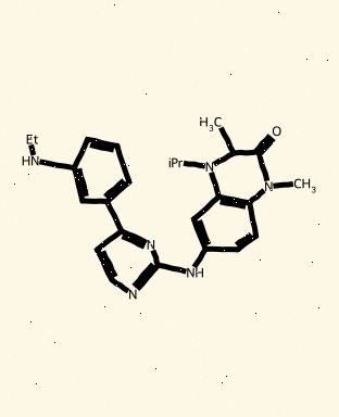 CCNc1cccc(-c2ccnc(Nc3ccc4c(c3)N(C(C)C)C(C)C(=O)N4C)n2)c1